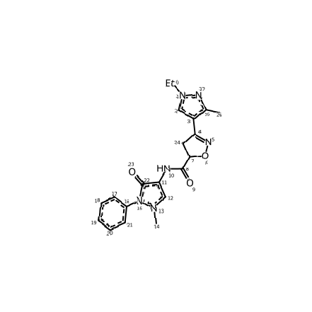 CCn1cc(C2=NOC(C(=O)Nc3cn(C)n(-c4ccccc4)c3=O)C2)c(C)n1